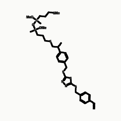 C=Cc1ccc(CSc2nnc(SCc3ccc(C(C)CSCCC[Si](C)(OC)O[Si](C)(CCCSC)OC)cc3)s2)cc1